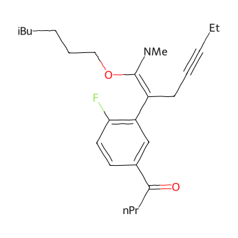 CCC#CC/C(=C(\NC)OCCCC(C)CC)c1cc(C(=O)CCC)ccc1F